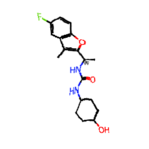 Cc1c([C@@H](C)NC(=O)NC2CCC(O)CC2)oc2ccc(F)cc12